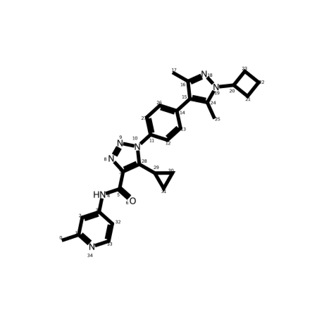 Cc1cc(NC(=O)c2nnn(-c3ccc(-c4c(C)nn(C5CCC5)c4C)cc3)c2C2CC2)ccn1